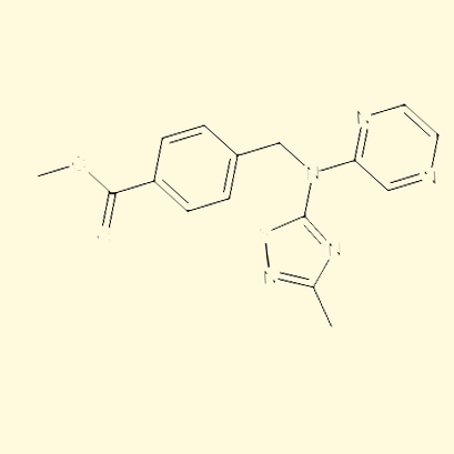 COC(=O)c1ccc(CN(c2cnccn2)c2nc(C)ns2)cc1